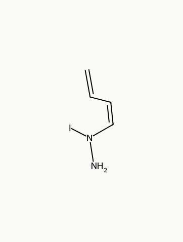 C=C/C=C\N(N)I